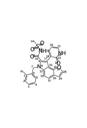 Cc1ccccc1Cn1c(C(=O)NS(C)(=O)=O)c(-c2ccc[nH]c2=O)c2c3occc3ccc21